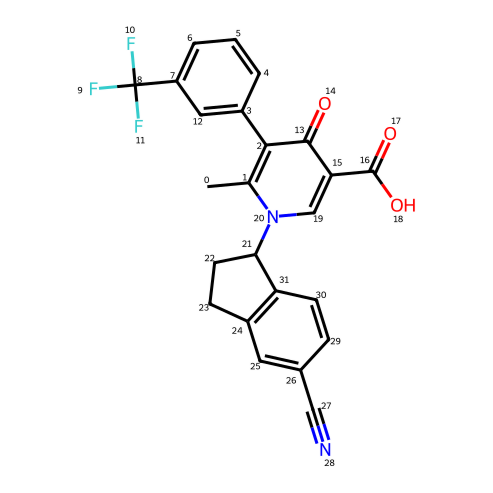 Cc1c(-c2cccc(C(F)(F)F)c2)c(=O)c(C(=O)O)cn1C1CCc2cc(C#N)ccc21